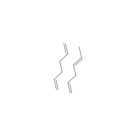 C=CCC=CC.C=CCCC=C